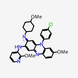 COc1ccc2nc3cc(Nc4cccnc4OC)/c(=N/C4CCC(OC)CC4)cc-3n(-c3ccc(Cl)cc3)c2c1